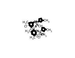 CC1=CC[C]([Hf+]([NH]c2cc(C)cc(C)c2)[SiH](C)C)=C1.CC1=CC[C]([Hf+]([NH]c2cc(C)cc(C)c2)[SiH](C)C)=C1.[Cl-].[Cl-]